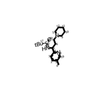 Cc1ccc(C(CCN2CCCCC2)N[S@+]([O-])C(C)(C)C)nc1